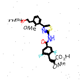 CCCCOCCc1cccc(-c2csc(NC(=O)c3cc(F)c(C=C(OC)C(=O)O)c(F)c3)n2)c1OC